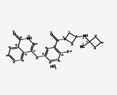 Cl.N#CC1(NC2CN(C(=O)c3cc(Cc4n[nH]c(=O)c5ccccc45)ccc3F)C2)CCC1